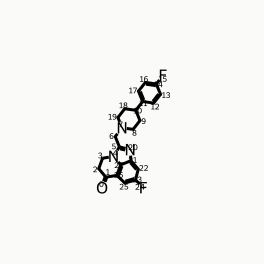 O=C1CCn2c(CN3CCC(c4ccc(F)cc4)CC3)nc3cc(F)cc1c32